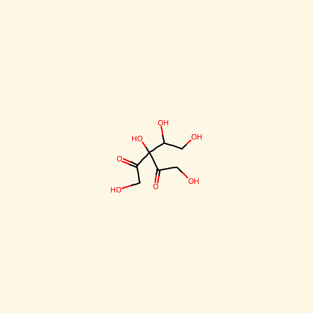 O=C(CO)C(O)(C(=O)CO)C(O)CO